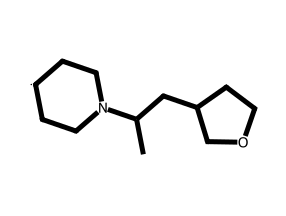 CC(CC1CCOC1)N1CC[CH]CC1